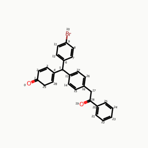 O=C1C=CC([C](c2ccc(Br)cc2)c2ccc(CC(=O)c3ccccc3)cc2)=CC1